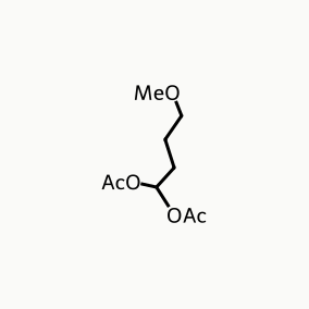 COCCCC(OC(C)=O)OC(C)=O